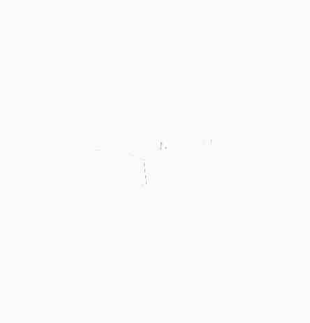 CCON=C(C)C(=O)O